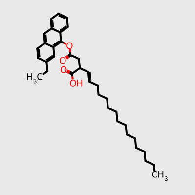 CCCCCCCCCCCCCCC=CC(CC(=O)Oc1c2ccccc2cc2ccc(CC)cc12)C(=O)O